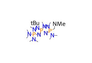 CNCP(=NP(=NC(C)(C)C)(N=P(N(C)C)(N(C)C)N(C)C)N(C)C)(N(C)C)N(C)C